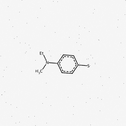 CCN(C)c1ccc([S])cc1